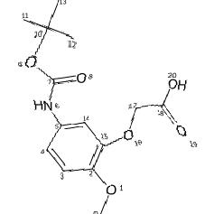 COc1ccc(NC(=O)OC(C)(C)C)cc1OCC(=O)O